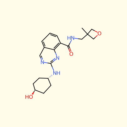 CC1(CNC(=O)c2cccc3cnc(N[C@H]4CC[C@H](O)CC4)nc23)COC1